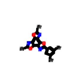 CC(C)c1cc(-c2nc3c(o2)c2nc(C(C)C)oc2c2nc(C(C)C)oc32)cc(C(C)C)c1